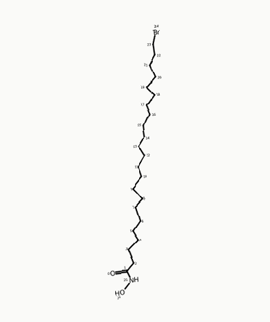 O=C(CCCCCCCCCCCCCCCCCCCCCCBr)NO